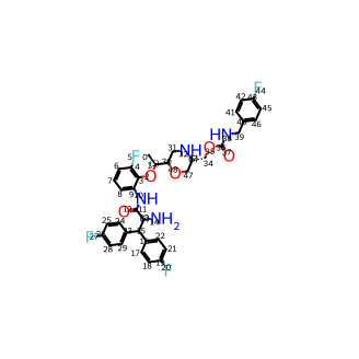 C[C@H](Oc1c(F)cccc1NC(=O)[C@@H](N)C(c1ccc(F)cc1)c1ccc(F)cc1)C1CN[C@H](COC(=O)NCc2ccc(F)cc2)CO1